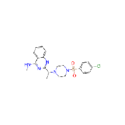 CNc1nc(C(C)N2CCN(S(=O)(=O)c3ccc(Cl)cc3)CC2)nc2ccccc12